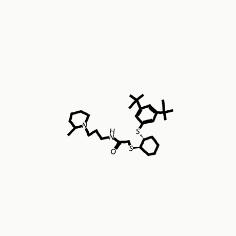 CC1CCCCN1CCCNC(=O)CS[C@@H]1CCCC[C@H]1Sc1cc(C(C)(C)C)cc(C(C)(C)C)c1